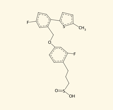 Cc1ccc(-c2ccc(F)cc2COc2ccc(CCCS(=O)O)c(F)c2)s1